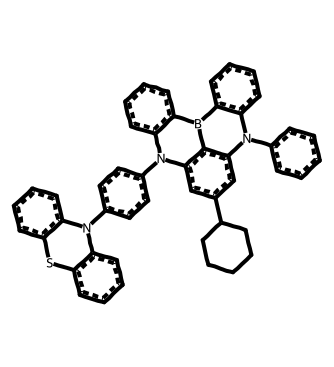 c1ccc(N2c3ccccc3B3c4ccccc4N(c4ccc(N5c6ccccc6Sc6ccccc65)cc4)c4cc(C5CCCCC5)cc2c43)cc1